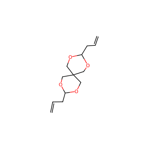 C=CCC1OCC2(CO1)COC(CC=C)OC2